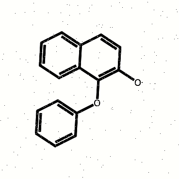 [O]c1ccc2ccccc2c1Oc1ccccc1